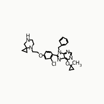 CC1(Oc2ncnc3c2nc(-c2ccc(OCCN4CCNCC45CC5)cc2Cl)n3Cc2ccccc2)CC1